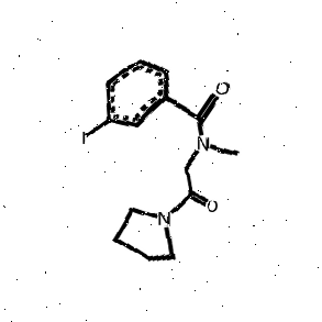 CN(CC(=O)N1CCCC1)C(=O)c1cccc(I)c1